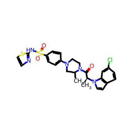 CC1CN(c2ccc(S(=O)(=O)Nc3nccs3)cc2)CCN1C(=O)[C@H](C)n1ccc2ccc(Cl)cc21